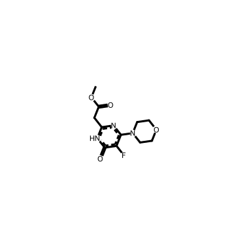 COC(=O)Cc1nc(N2CCOCC2)c(F)c(=O)[nH]1